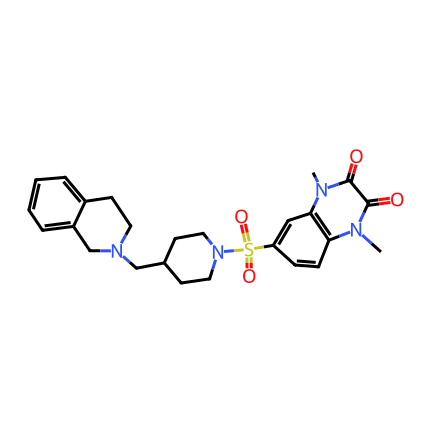 Cn1c(=O)c(=O)n(C)c2cc(S(=O)(=O)N3CCC(CN4CCc5ccccc5C4)CC3)ccc21